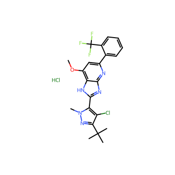 COc1cc(-c2ccccc2C(F)(F)F)nc2nc(-c3c(Cl)c(C(C)(C)C)nn3C)[nH]c12.Cl